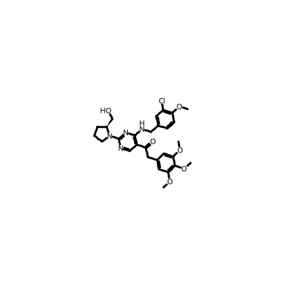 COc1ccc(CNc2nc(N3CCC[C@H]3CO)ncc2C(=O)Cc2cc(OC)c(OC)c(OC)c2)cc1Cl